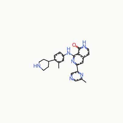 Cc1cncc(-c2cc3cc[nH]c(=O)c3c(Nc3ccc(C4CCNCC4)c(C)c3)n2)n1